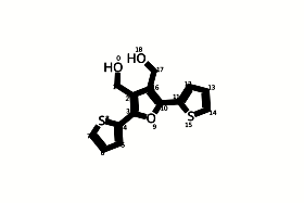 OCc1c(-c2cccs2)oc(-c2cccs2)c1CO